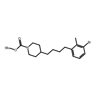 Cc1c(Br)cccc1CCCCC1CCN(C(=O)OC(C)(C)C)CC1